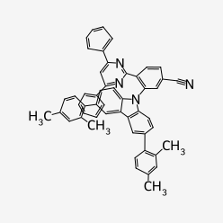 Cc1ccc(-c2ccc3c(c2)c2cc(-c4ccc(C)cc4C)ccc2n3-c2cc(C#N)ccc2-c2nc(-c3ccccc3)cc(-c3ccccc3)n2)c(C)c1